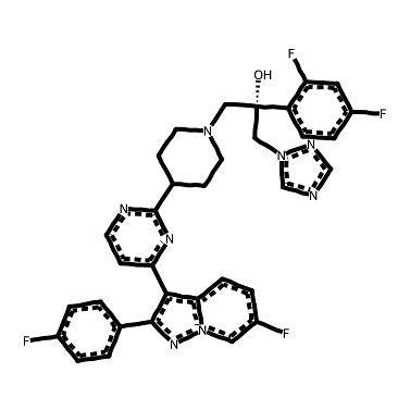 O[C@@](CN1CCC(c2nccc(-c3c(-c4ccc(F)cc4)nn4cc(F)ccc34)n2)CC1)(Cn1cncn1)c1ccc(F)cc1F